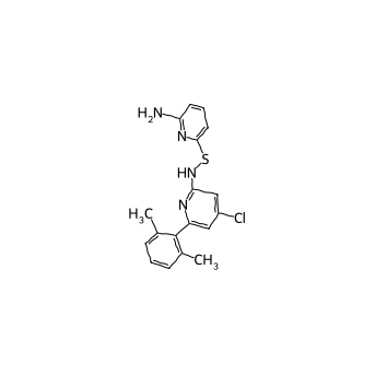 Cc1cccc(C)c1-c1cc(Cl)cc(NSc2cccc(N)n2)n1